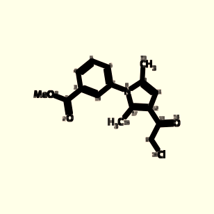 COC(=O)c1cccc(-n2c(C)cc(C(=O)CCl)c2C)c1